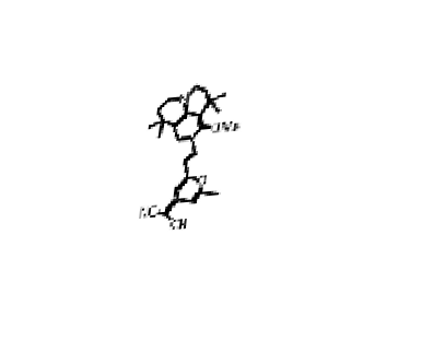 COc1c(/C=C/C2=CC(=C(C#N)C#N)C=C(C)O2)cc2c3c1C(C)(C)CCN3CCC2(C)C